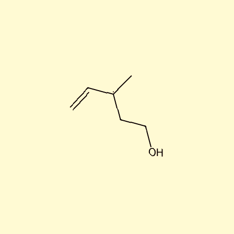 C=C[C](C)CCO